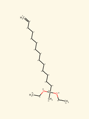 C=CCCCCCCCCCCCC[Si](C)(OCC)OCC